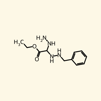 CCOC(=O)C(NN)NNCc1ccccc1